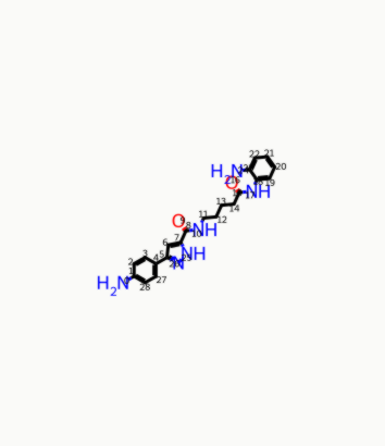 Nc1ccc(-c2cc(C(=O)NCCCCC(=O)Nc3ccccc3N)[nH]n2)cc1